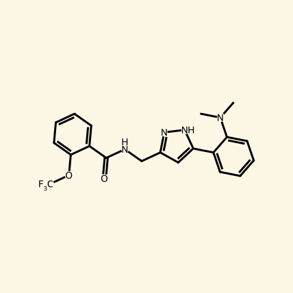 CN(C)c1ccccc1-c1cc(CNC(=O)c2ccccc2OC(F)(F)F)n[nH]1